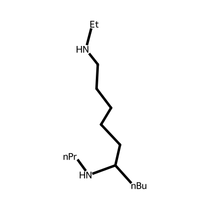 [CH2]CCCC(CCCCCNCC)NCCC